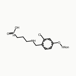 CCCCCCCCCOc1ccc(CNCCC[PH](=O)O)c(Cl)c1